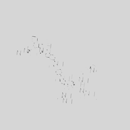 CN1CCN(C(=O)Oc2cc3c(c4ccccc24)[C@H](CCl)CN3C(=O)c2cc3cc(NC(=O)c4ccc(NC(=O)[C@H](CCCNC(N)=O)NC(=O)[C@H](CCCNC(N)=O)NCCNC(=O)CCCN5C(=O)C=CC5=O)cc4)ccc3[nH]2)CC1